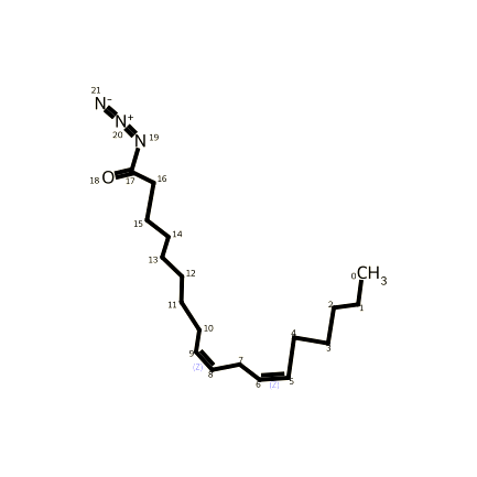 CCCCC/C=C\C/C=C\CCCCCCCC(=O)N=[N+]=[N-]